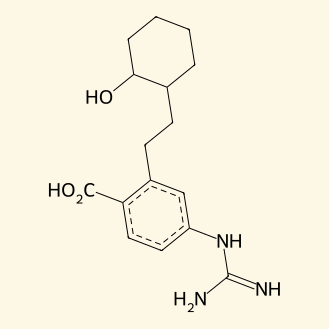 N=C(N)Nc1ccc(C(=O)O)c(CCC2CCCCC2O)c1